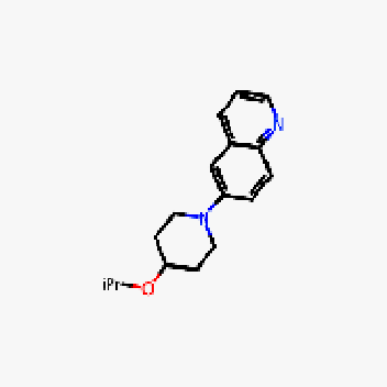 CC(C)OC1CCN(c2ccc3ncccc3c2)CC1